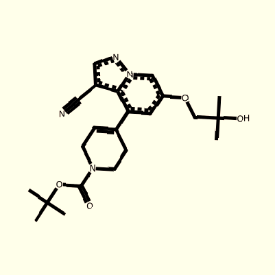 CC(C)(O)COc1cc(C2=CCN(C(=O)OC(C)(C)C)CC2)c2c(C#N)cnn2c1